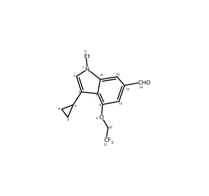 CCn1cc(C2CC2)c2c(OCC(F)(F)F)cc(C=O)cc21